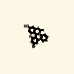 CC1Cc2cc(O)ccc2C(c2c(F)cc(Br)cc2F)N1c1ccccc1